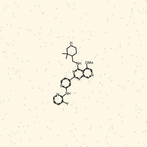 COc1cncc2nc(-c3ccnc(Nc4ncccc4F)c3)nc(NCC3CCNCC3(C)C)c12